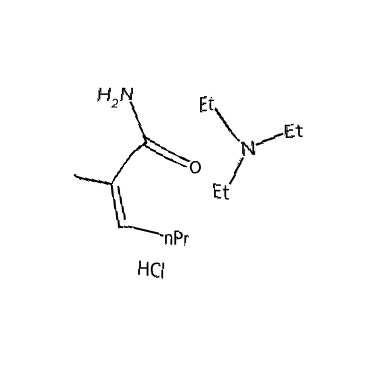 CCCC=C(C)C(N)=O.CCN(CC)CC.Cl